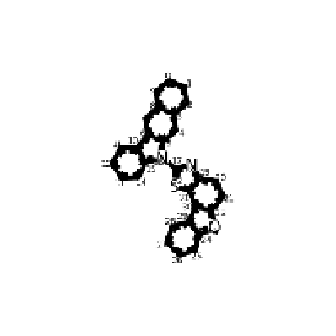 c1ccc2cc3c(cc2c1)c1ccccc1n3-c1nc2ccc3oc4ccccc4c3c2s1